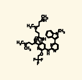 CNCCN(C)CCC(=O)Nc1cc(Nc2nccc(-c3cn(C)c4ccccc34)n2)c(OCC(F)(F)F)nc1N(C)CCN(C)C